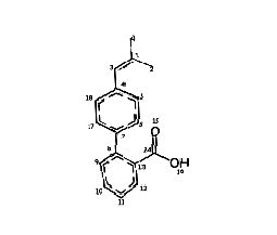 CC(C)=Cc1ccc(-c2ccccc2C(=O)O)cc1